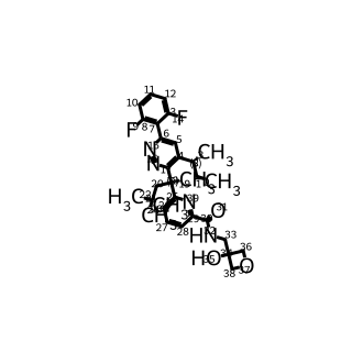 CC[C@H](C)c1cc(-c2c(F)cccc2F)nnc1[C@@](C)(CC(C)(C)C)c1cccc(C(=O)NCC2(O)COC2)n1